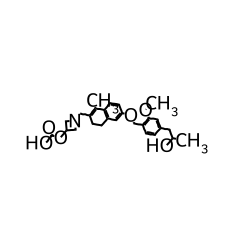 COc1cc(CC(C)O)ccc1COc1ccc2c(c1)CCC(CN1CC(OC(=O)O)C1)=C2C